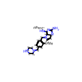 CCCCCNc1nc(N)nc2ccn(Cc3ccc(CN4CCNCC4)cc3OC)c12